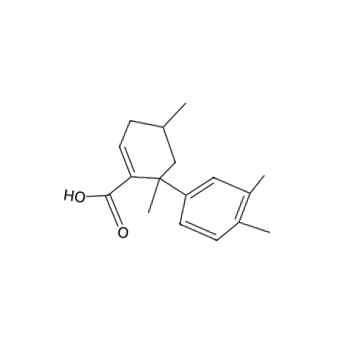 Cc1ccc(C2(C)CC(C)CC=C2C(=O)O)cc1C